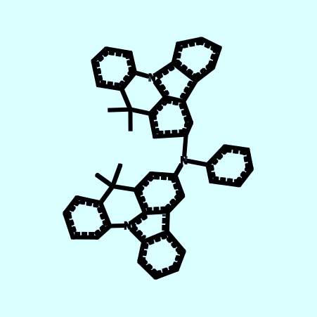 CC1(C)c2ccccc2-n2c3ccccc3c3cc(N(c4ccccc4)c4cc5c6c(c4)c4ccccc4n6-c4ccccc4C5(C)C)cc1c32